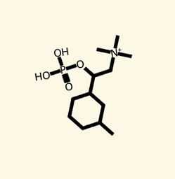 CC1CCCC(C(C[N+](C)(C)C)OP(=O)(O)O)C1